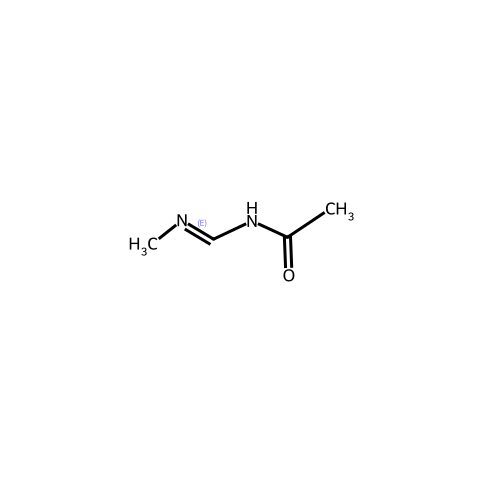 C/N=C/NC(C)=O